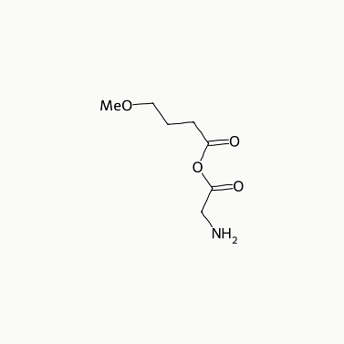 COCCCC(=O)OC(=O)CN